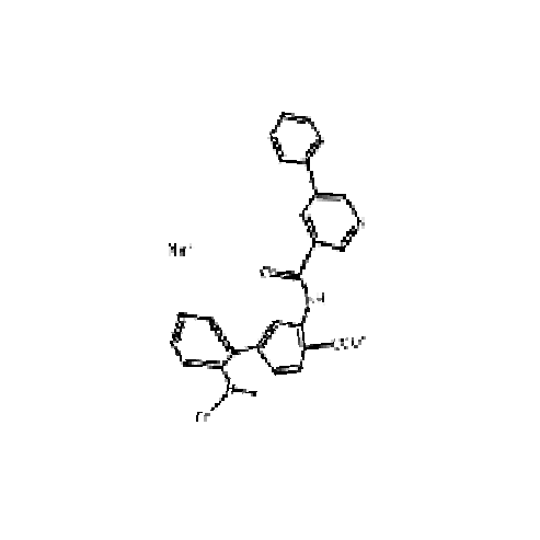 CCN(C)c1ccccc1-c1ccc(C(=O)[O-])c(NC(=O)c2cncc(-c3ccccc3)c2)c1.[Na+]